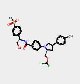 CCS(=O)(=O)c1ccc([C@H](CO)NC(=O)c2ccc(N3CC(c4ccc(C#N)cc4)C[C@H]3COC(F)F)cc2)cc1